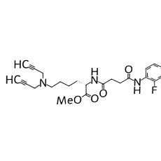 C#CCN(CC#C)CCCC[C@H](NC(=O)CCC(=O)Nc1ccccc1F)C(=O)OC